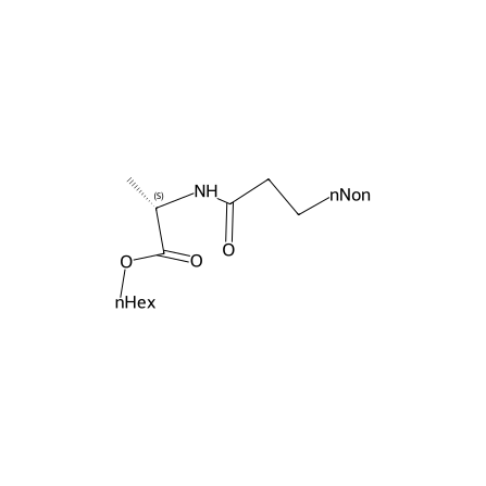 CCCCCCCCCCCC(=O)N[C@@H](C)C(=O)OCCCCCC